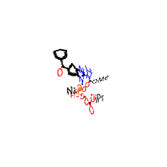 COC(=O)Nc1nc2cc(C(=O)c3ccccc3)ccc2n1COP(=O)(O)OCOC(=O)OC(C)C.[Na]